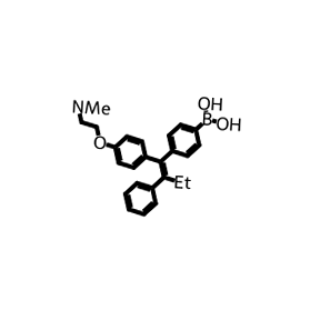 CCC(=C(c1ccc(OCCNC)cc1)c1ccc(B(O)O)cc1)c1ccccc1